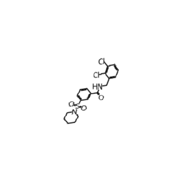 O=C(NCc1cccc(Cl)c1Cl)c1cccc(S(=O)(=O)N2CCCCC2)c1